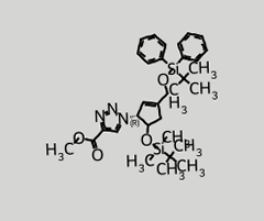 COC(=O)c1cn([C@@H]2C=C(CO[Si](c3ccccc3)(c3ccccc3)C(C)(C)C)CC2O[Si](C)(C)C(C)(C)C)nn1